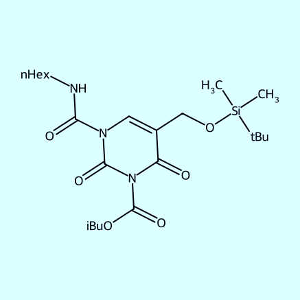 CCCCCCNC(=O)n1cc(CO[Si](C)(C)C(C)(C)C)c(=O)n(C(=O)OCC(C)C)c1=O